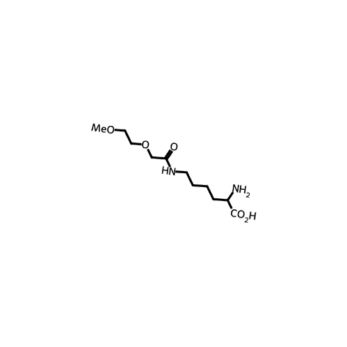 COCCOCC(=O)NCCCCC(N)C(=O)O